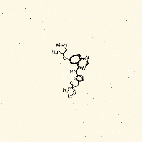 CCOP(C)(=O)Cc1csc(Nc2ncnc3ccc(O[C@@H](C)COC)cc23)n1